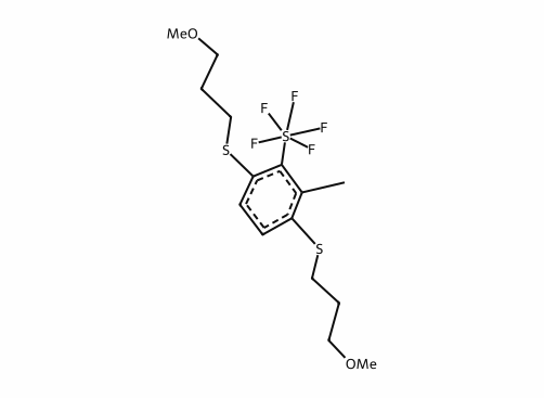 COCCCSc1ccc(SCCCOC)c(S(F)(F)(F)(F)F)c1C